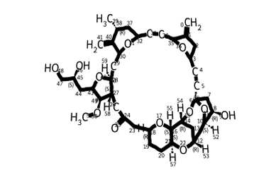 C=C1CC2CC[C@]34C[C@@H](O)[C@H](O3)[C@H]3C[C@@H](O4)[C@H]4O[C@H](CC[C@@H]4O3)CC(=O)C[C@H]3[C@H](CC4OC(CCC1O2)C[C@@H](C)C4=C)OC(C[C@H](O)CO)[C@@H]3OC